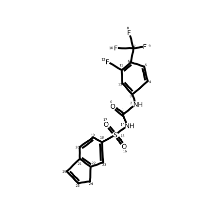 O=C(Nc1ccc(C(F)(F)F)c(F)c1)NS(=O)(=O)c1ccc2c(c1)CC=C2